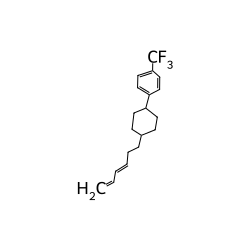 C=C/C=C/CCC1CCC(c2ccc(C(F)(F)F)cc2)CC1